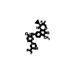 Cn1c(=O)c2c(c3cc(Nc4nc(N5CCNC(C(F)F)C5)ncc4Cl)ccc31)N[C@@H](C1CC1)C(F)(F)CO2